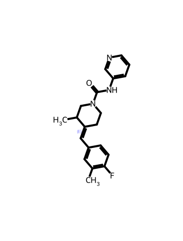 Cc1cc(/C=C2\CCN(C(=O)Nc3cccnc3)CC2C)ccc1F